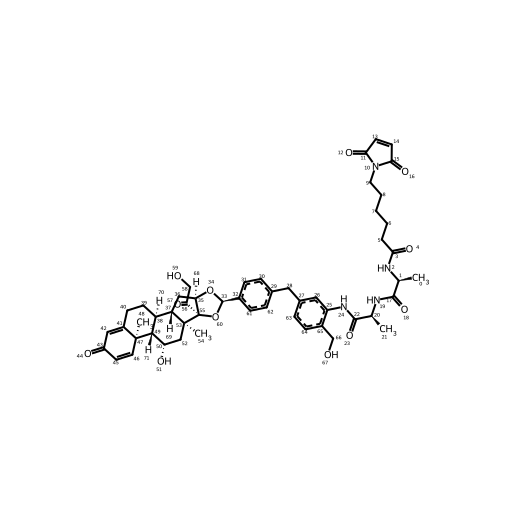 C[C@H](NC(=O)CCCCCN1C(=O)C=CC1=O)C(=O)N[C@@H](C)C(=O)Nc1cc(Cc2ccc([C@@H]3O[C@@H]4C[C@H]5[C@@H]6CCC7=CC(=O)C=C[C@]7(C)[C@H]6[C@@H](O)C[C@]5(C)[C@]4(C(=O)CO)O3)cc2)ccc1CO